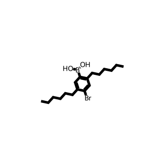 CCCCCCc1cc(B(O)O)c(CCCCCC)cc1Br